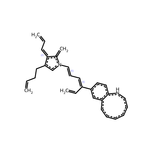 C=C/C=c1/c(CCC=C)cn(/C=C/C=C(\C=C)c2ccc3[nH]ccccccc3c2)c1=C